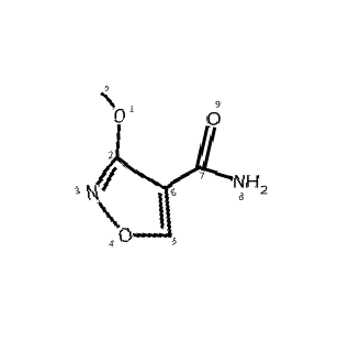 COc1nocc1C(N)=O